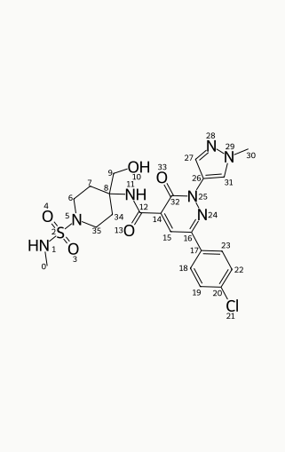 CNS(=O)(=O)N1CCC(CO)(NC(=O)c2cc(-c3ccc(Cl)cc3)nn(-c3cnn(C)c3)c2=O)CC1